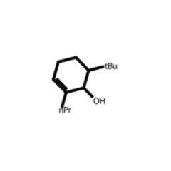 CCCC1=CCCC(C(C)(C)C)C1O